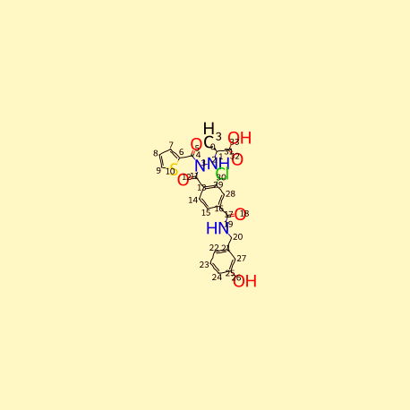 C[C@H](NN(C(=O)c1cccs1)C(=O)c1ccc(C(=O)NCc2cccc(O)c2)cc1Cl)C(=O)O